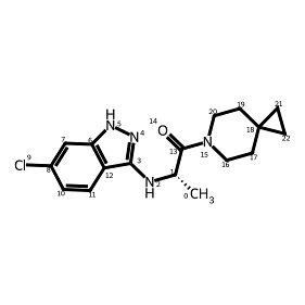 C[C@H](Nc1n[nH]c2cc(Cl)ccc12)C(=O)N1CCC2(CC1)CC2